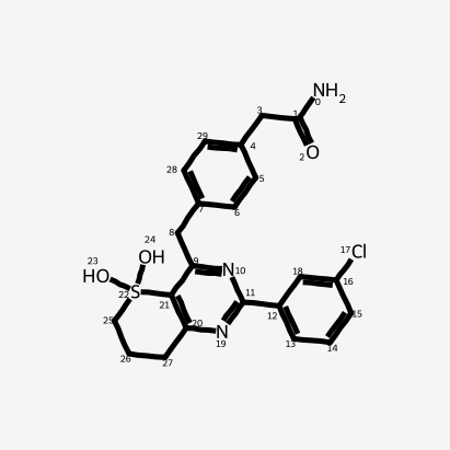 NC(=O)Cc1ccc(Cc2nc(-c3cccc(Cl)c3)nc3c2S(O)(O)CCC3)cc1